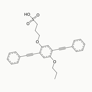 CCCOc1cc(C#Cc2ccccc2)c(OCCCS(=O)(=O)O)cc1C#Cc1ccccc1